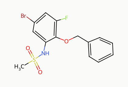 CS(=O)(=O)Nc1cc(Br)cc(F)c1OCc1ccccc1